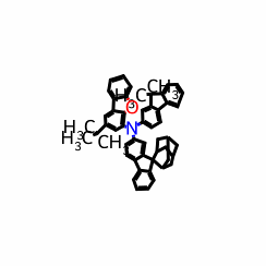 CC(C)(C)c1cc(N(c2ccc3c(c2)C(C)(C)c2ccccc2-3)c2ccc3c(c2)C2(c4ccccc4-3)C3CC4CC(C3)CC2C4)c2oc3ccccc3c2c1